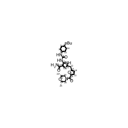 CCCCc1ccc(NC(=O)Nc2[nH]c(Cc3ccc(C(=O)N4C[C@@H](C)O[C@@H](C)C4)o3)nc2C(N)=O)cc1